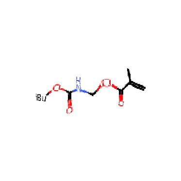 C=C(C)C(=O)OCNC(=O)OC(C)CC